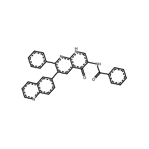 O=C(Nc1c[nH]c2nc(-c3ccccc3)c(-c3ccc4ncccc4c3)cc2c1=O)c1ccccc1